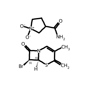 C=C1S[C@H]2[C@@H](Br)C(=O)N2C=C1C.NC(=O)C1CC[N+]([O-])([O-])C1